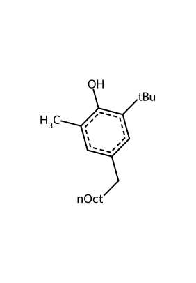 CCCCCCCCCc1cc(C)c(O)c(C(C)(C)C)c1